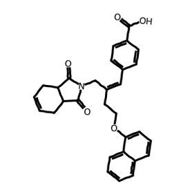 O=C(O)c1ccc(C=C(CCOc2cccc3ccccc23)CN2C(=O)C3CC=CCC3C2=O)cc1